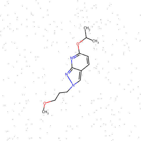 COCCCn1cc2ccc(OC(C)C)nc2n1